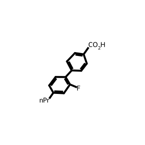 CCCc1ccc(-c2ccc(C(=O)O)cc2)c(F)c1